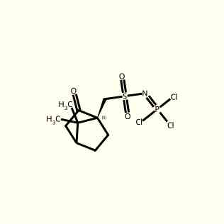 CC1(C)C2CC[C@@]1(CS(=O)(=O)N=P(Cl)(Cl)Cl)C(=O)C2